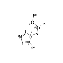 C[C@H](Cn1cncc1F)OI